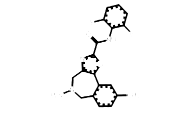 Cc1ccc2c(c1)-c1sc(C(=O)Nc3c(F)cccc3F)nc1CN(C)C2